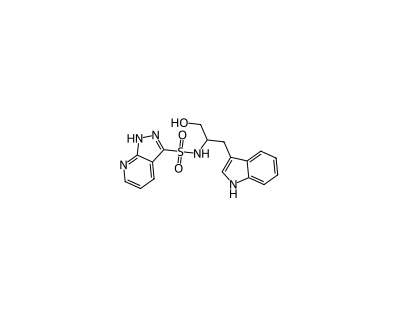 O=S(=O)(NC(CO)Cc1c[nH]c2ccccc12)c1n[nH]c2ncccc12